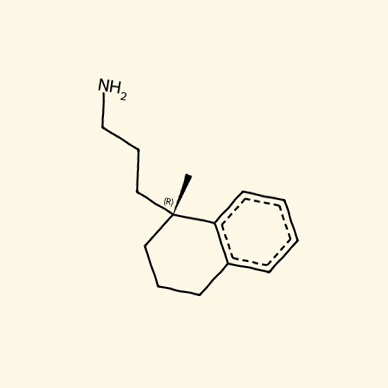 C[C@]1(CCCN)CCCc2ccccc21